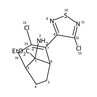 CCOC(=O)C1(N)C2CCC1C(c1nsnc1Cl)=C(Cl)C2